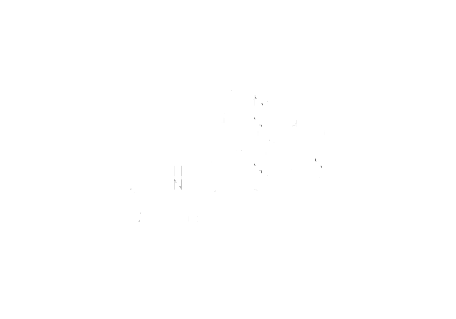 O=C(NC1CC1)C1CCN(c2cnccc2-n2cc(Cl)cn2)CC1